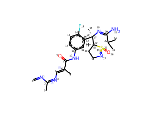 C=N/C(C)=N\C=C(/C)C(=O)Nc1ccc(F)c([C@@]2(C)N=C(N)C(C)(C)[S@@]3(=O)=NCC[C@@H]23)c1